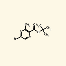 CC(C)(C)OC(=O)c1ncc(Br)nc1N